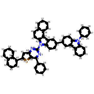 c1ccc(-c2nc(-n3c4ccc(-c5ccc6c(c5)c5ccccc5n6-c5ccccc5)cc4c4c5ccccc5ccc43)nc3cc(-c4cccc5ccccc45)sc23)cc1